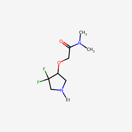 CCN1CC(OCC(=O)N(C)C)C(F)(F)C1